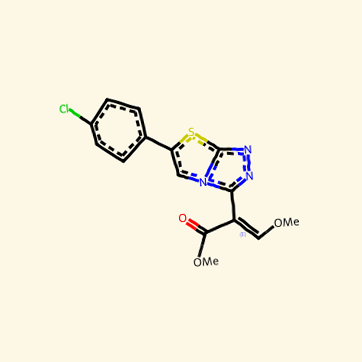 CO/C=C(/C(=O)OC)c1nnc2sc(-c3ccc(Cl)cc3)cn12